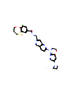 C[C@@H]1C[C@H](C)N1c1cnc2c(c1)OCCN2c1ccc2cnc(CNC(=O)c3cc(F)c4c(c3)S(=O)(=O)[C@@H](F)CCO4)cc2n1